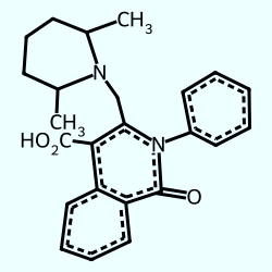 CC1CCCC(C)N1Cc1c(C(=O)O)c2ccccc2c(=O)n1-c1ccccc1